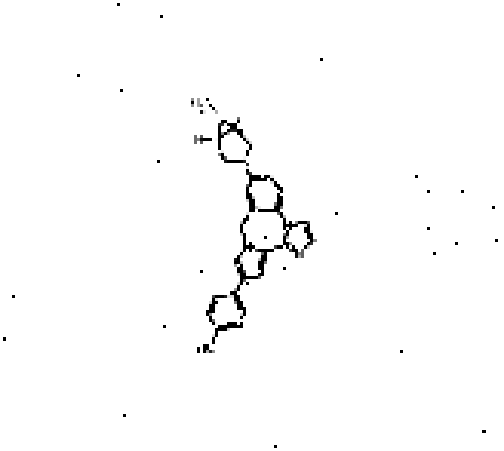 N#Cc1ccc(-c2cc3n(c2)Cc2cc(N4C[C@@H]5[C@H](N)[C@@H]5C4)ccc2-n2ccnc2-3)cc1